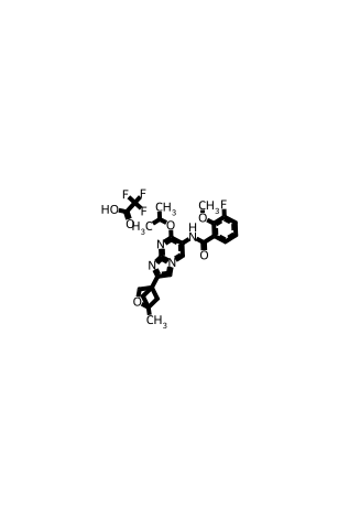 COc1c(F)cccc1C(=O)Nc1cn2cc(C34COC(C)(C3)C4)nc2nc1OC(C)C.O=C(O)C(F)(F)F